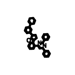 C1=CC(c2cccc(C3=CCc4c3oc3cccc(-c5cc(-c6ccccc6)nc(-c6ccccc6)n5)c43)c2)=CCC1